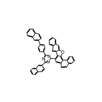 c1ccc2cc(-c3ccc(-c4nc(-c5ccc6ccccc6c5)nc(-c5cc6ccc7ccccc7c6c6oc7cc8ccccc8cc7c56)n4)cc3)ccc2c1